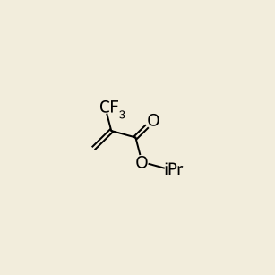 C=C(C(=O)OC(C)C)C(F)(F)F